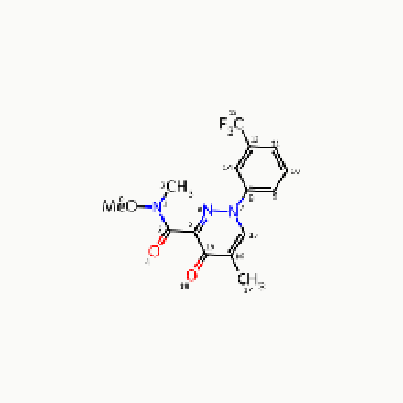 CON(C)C(=O)c1nn(-c2cccc(C(F)(F)F)c2)cc(C)c1=O